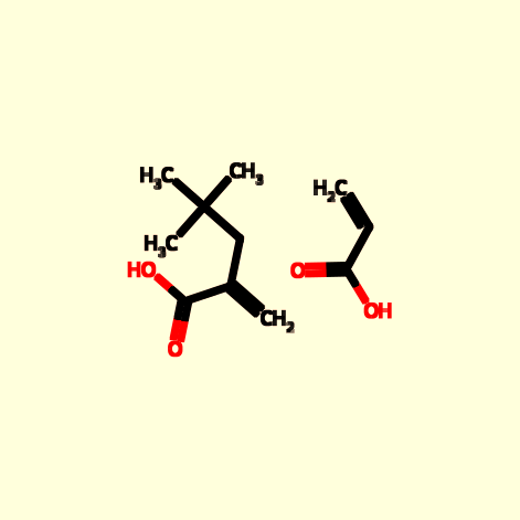 C=C(CC(C)(C)C)C(=O)O.C=CC(=O)O